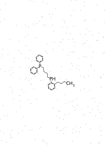 CCCCc1ccccc1PCCCCP(c1ccccc1)c1ccccc1